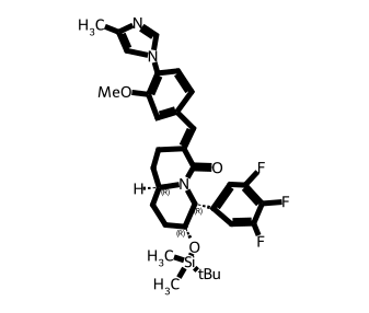 COc1cc(C=C2CC[C@@H]3CC[C@@H](O[Si](C)(C)C(C)(C)C)[C@@H](c4cc(F)c(F)c(F)c4)N3C2=O)ccc1-n1cnc(C)c1